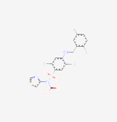 C[C@H](Nc1cc(F)c(S(=O)(=O)N(C(=O)O)c2cscn2)cc1Cl)c1cc(Cl)ccc1F